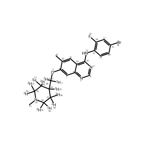 [2H]C([2H])(Oc1cc2ncnc(Nc3ccc(Br)cc3F)c2cc1C)C1([2H])C([2H])([2H])C([2H])([2H])N(C)C([2H])([2H])C1([2H])[2H]